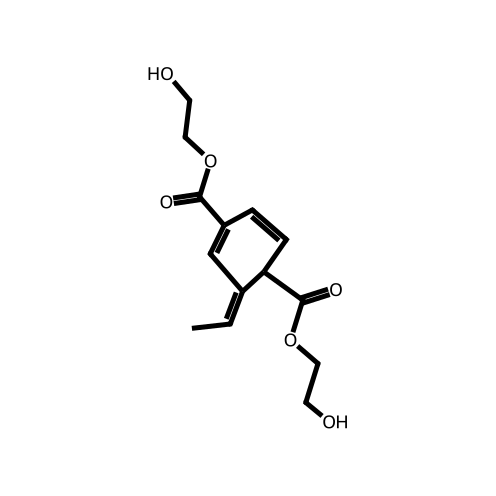 CC=C1C=C(C(=O)OCCO)C=CC1C(=O)OCCO